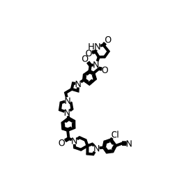 N#Cc1ccc(N2CCC3(CCN(C(=O)c4ccc(N5CCN(CC6CN(c7ccc8c(c7)C(=O)N(C7CCC(=O)NC7=O)C8=O)C6)CC5)cc4)CC3)C2)cc1Cl